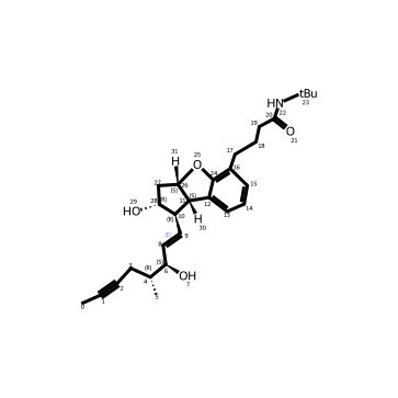 CC#CC[C@@H](C)[C@H](O)/C=C/[C@@H]1[C@H]2c3cccc(CCCC(=O)NC(C)(C)C)c3O[C@H]2C[C@H]1O